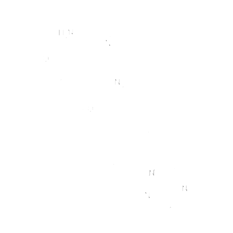 Nc1ncnc(Oc2ccc(-n3cncn3)cc2)c1C=O